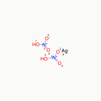 O=[N+]([O-])O.O=[N+]([O-])O.[Ag]